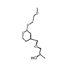 COCCOC1CC(COCC(C)O)CCO1